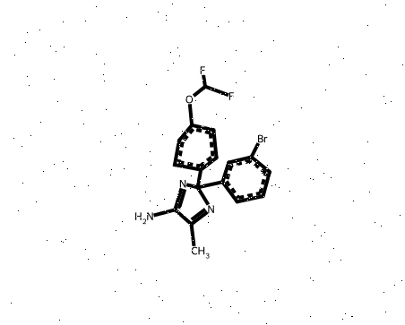 CC1=NC(c2ccc(OC(F)F)cc2)(c2cccc(Br)c2)N=C1N